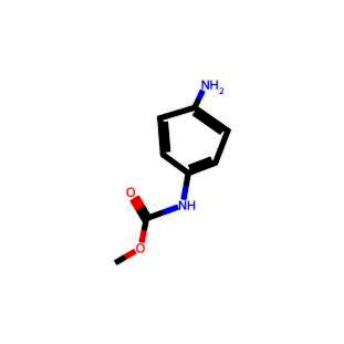 COC(=O)Nc1ccc(N)cc1